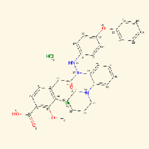 COc1c(C(=O)O)ccc(CC(=O)N(Nc2ccc(Oc3ccccc3)cc2)c2ccccc2N2CCCCC2)c1Br.Cl